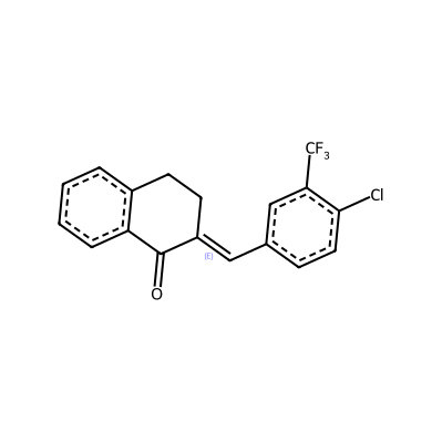 O=C1/C(=C/c2ccc(Cl)c(C(F)(F)F)c2)CCc2ccccc21